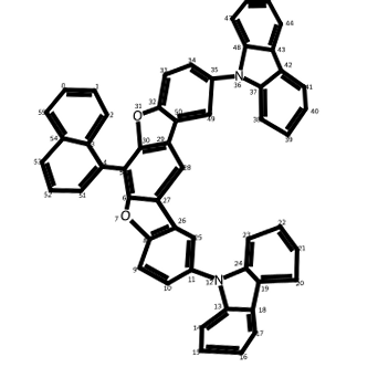 c1ccc2c(-c3c4oc5ccc(-n6c7ccccc7c7ccccc76)cc5c4cc4c3oc3ccc(-n5c6ccccc6c6ccccc65)cc34)cccc2c1